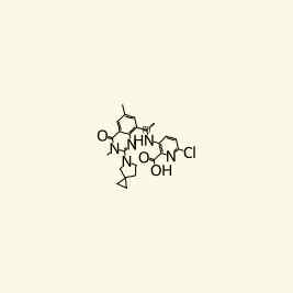 Cc1cc([C@@H](C)Nc2ccc(Cl)nc2C(=O)O)c2nc(N3CCC4(CC4)C3)n(C)c(=O)c2c1